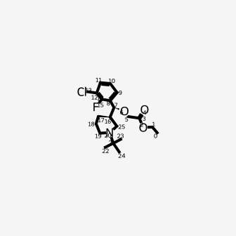 CCOC(=O)CO[C@@H](c1cccc(Cl)c1F)[C@@H]1CCCN(C(C)(C)C)C1